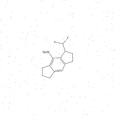 CNc1c2c(cc3c1C(C(F)F)CC3)CCC2